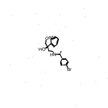 COCC(O)(CCN[C@@H](C)c1ccc(Br)cc1)c1ccccc1